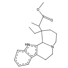 CCC1(C(C)C(=O)OC)CCCN2CCc3c([nH]c4ccccc34)C21